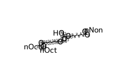 CCCCCCCCCOC(=O)CCCCCCCOc1ccc(OCCCCCCCC(=O)OC(CCCCCCCC)CCCCCCCC)cc1CO